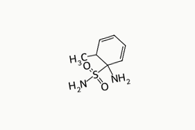 CC1C=CC=CC1(N)S(N)(=O)=O